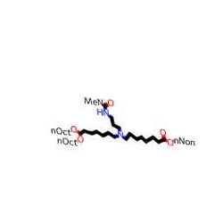 CCCCCCCCCOC(=O)CCCCCCCN(CCCCCCC(OCCCCCCCC)OCCCCCCCC)CCCNC(=O)NC